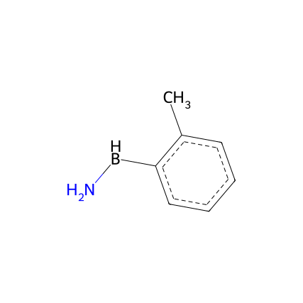 Cc1ccccc1BN